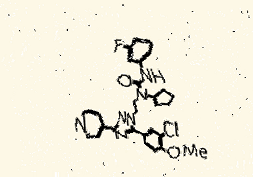 COc1ccc(-c2nc(-c3ccncc3)nn2CCN(C(=O)Nc2cccc(F)c2)C2CCCC2)cc1Cl